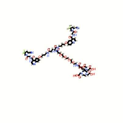 N#CC1CC(F)(F)CN1C(=O)CNC(=O)c1ccnc2ccc(OCCCCNC(=O)CC[C@H](NC(=O)CCOCCOCCOCCOCCNC(=O)CCCCC3(N(CC(=O)O)CC(=O)O)CN(CC(=O)O)CCN(CC(=O)O)C3)C(=O)NCCCCOc3ccc4nccc(C(=O)NCC(=O)N5CC(F)(F)C[C@H]5C#N)c4c3)cc12